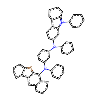 c1ccc(N(c2cccc(N(c3ccccc3)c3c4ccccc4cc4c3sc3ccccc34)c2)c2ccc3c4ccccc4n(-c4ccccc4)c3c2)cc1